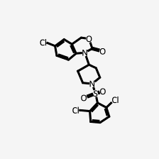 O=C1OCc2cc(Cl)ccc2N1C1CCN(S(=O)(=O)c2c(Cl)cccc2Cl)CC1